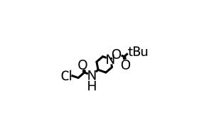 CC(C)(C)C(=O)ON1CCC(NC(=O)CCl)CC1